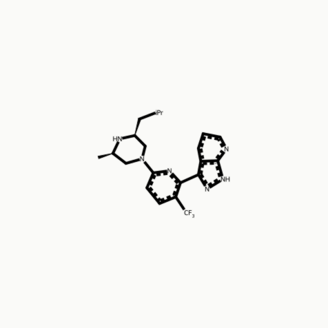 CC(C)C[C@H]1CN(c2ccc(C(F)(F)F)c(-c3n[nH]c4ncccc34)n2)C[C@@H](C)N1